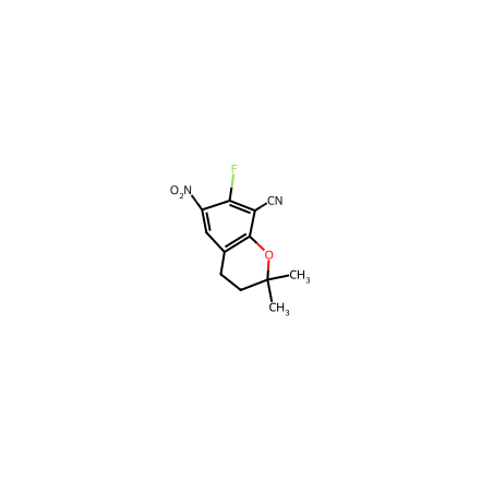 CC1(C)CCc2cc([N+](=O)[O-])c(F)c(C#N)c2O1